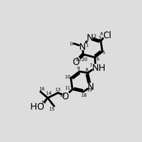 Cn1nc(Cl)cc(Nc2ccc(OCC(C)(C)O)cn2)c1=O